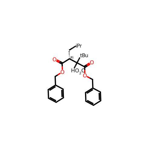 CC(C)C[C@@H](C(=O)OCc1ccccc1)C(C(=O)O)(C(=O)OCc1ccccc1)C(C)(C)C